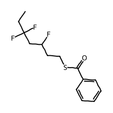 CCC(F)(F)CC(F)CCSC(=O)c1ccccc1